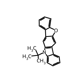 CC(C)(C)n1c2ccccc2c2cc3oc4ccccc4c3cc21